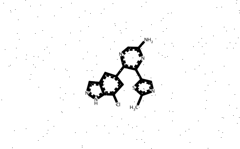 Cc1ncc(-c2nc(N)cnc2-c2cc(Cl)c3[nH]ncc3c2)s1